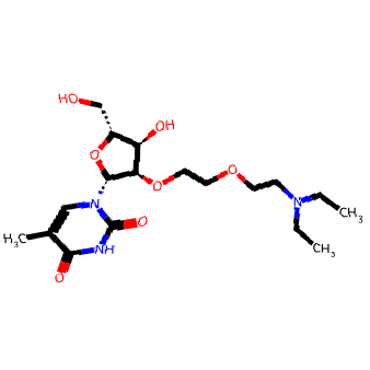 CCN(CC)CCOCCO[C@@H]1[C@H](O)[C@@H](CO)O[C@H]1n1cc(C)c(=O)[nH]c1=O